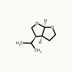 CC(C)[C@H]1CO[C@H]2OCC[C@H]21